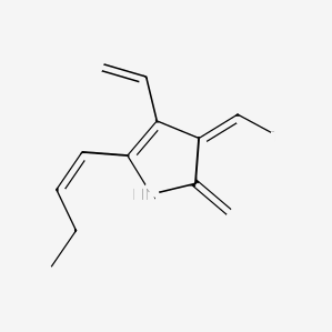 C=Cc1c(/C=C\CC)[nH]c(=C)/c1=C\F